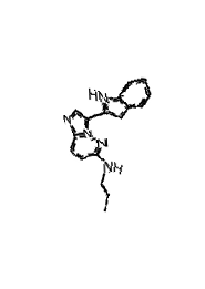 CCCNc1ccc2ncc(-c3cc4ccccc4[nH]3)n2n1